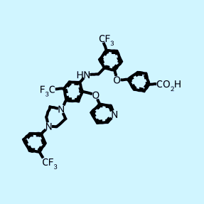 O=C(O)c1ccc(Oc2ccc(C(F)(F)F)cc2CNc2cc(C(F)(F)F)c(N3CCN(c4cccc(C(F)(F)F)c4)CC3)cc2Oc2cccnc2)cc1